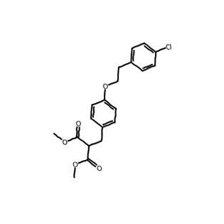 COC(=O)C(Cc1ccc(OCCc2ccc(Cl)cc2)cc1)C(=O)OC